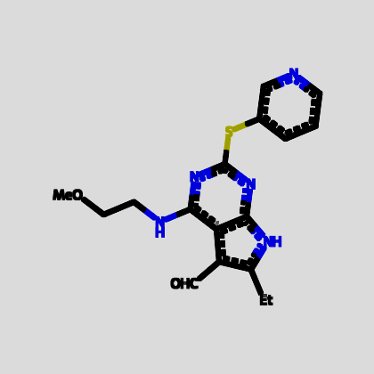 CCc1[nH]c2nc(Sc3cccnc3)nc(NCCOC)c2c1C=O